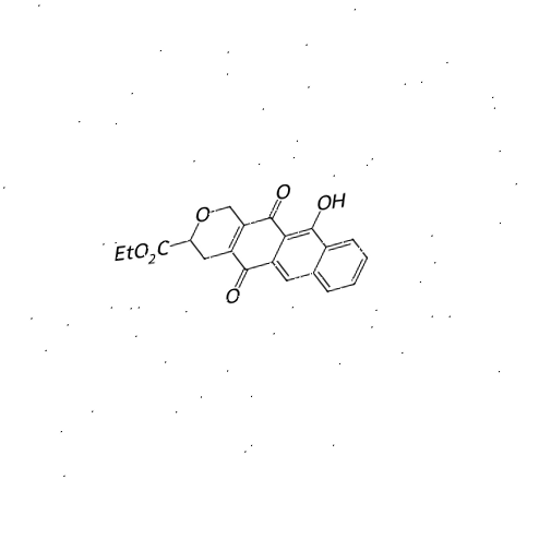 CCOC(=O)C1CC2=C(CO1)C(=O)c1c(cc3ccccc3c1O)C2=O